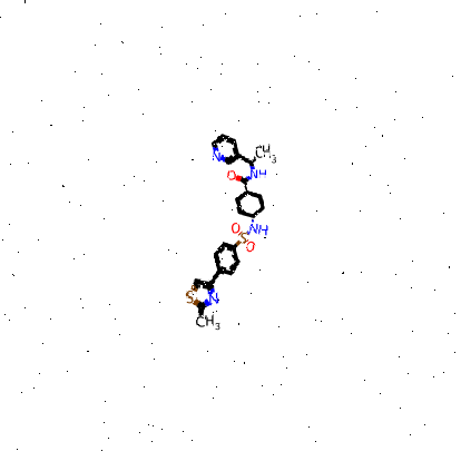 Cc1nc(-c2ccc(S(=O)(=O)N[C@H]3CC[C@H](C(=O)N[C@H](C)c4cccnc4)CC3)cc2)cs1